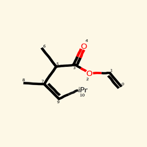 C=COC(=O)C(C)C(C)=CC(C)C